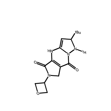 [2H]N1C(C(C)(C)C)C=C2NC3=C(CN(C4COC4)C3=O)C(=O)N21